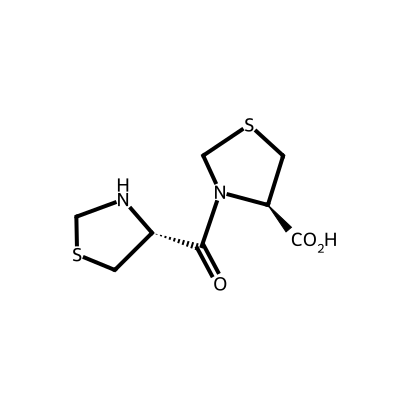 O=C(O)[C@@H]1CSCN1C(=O)[C@@H]1CSCN1